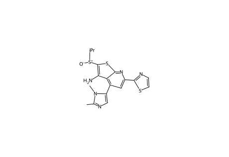 Cc1ncc(-c2cc(-c3nccs3)nc3sc([S+]([O-])C(C)C)c(N)c23)n1C